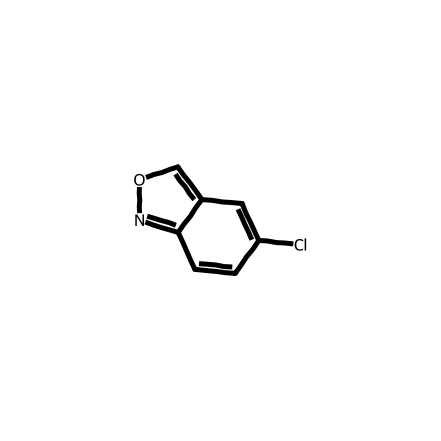 Clc1ccc2nocc2c1